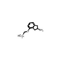 NC1Cc2cccc(OCC(=O)O)c2C1